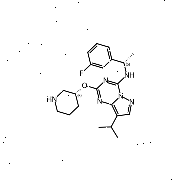 CC(C)c1cnn2c(N[C@@H](C)c3cccc(F)c3)nc(O[C@@H]3CCCNC3)nc12